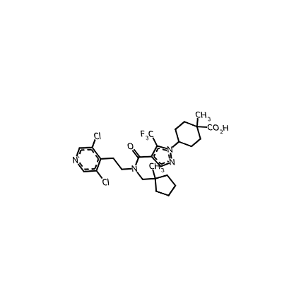 CC1(CN(CCc2c(Cl)cncc2Cl)C(=O)c2cnn(C3CCC(C)(C(=O)O)CC3)c2C(F)(F)F)CCCC1